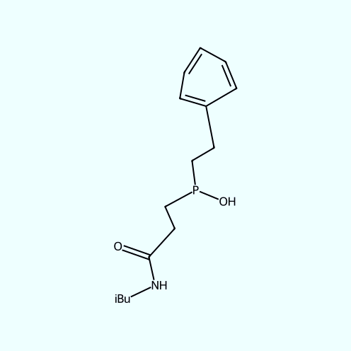 CCC(C)NC(=O)CCP(O)CCc1ccccc1